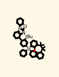 CC(C)(C)c1cc([Si](c2ccccc2)(c2ccccc2)c2cccc3c2Sc2ccccc2C(C)(C)C3(C)C)ccc1-c1cccc2c1nc1oc3ccccc3n12